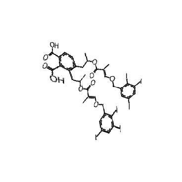 C/C(=C\OCc1cc(I)cc(I)c1I)C(=O)OC(C)Cc1ccc(C(=O)O)c(C(=O)O)c1CC(C)OC(=O)/C(C)=C/OCc1cc(I)cc(I)c1I